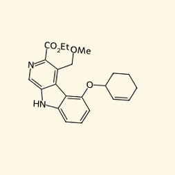 CCOC(=O)c1ncc2[nH]c3cccc(OC4C=CCCC4)c3c2c1COC